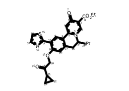 CCOC(=O)c1cn2c(cc1=O)-c1cc(-c3nccs3)c(OCC(=O)C3CC3)cc1CC2C(C)C